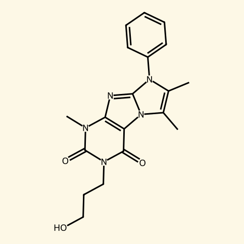 Cc1c(C)n2c3c(=O)n(CCCO)c(=O)n(C)c3nc2n1-c1ccccc1